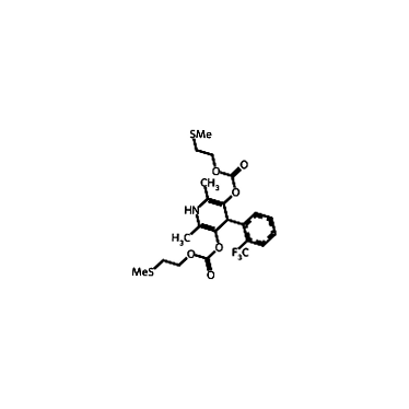 CSCCOC(=O)OC1=C(C)NC(C)=C(OC(=O)OCCSC)C1c1ccccc1C(F)(F)F